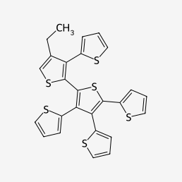 CCc1csc(-c2sc(-c3cccs3)c(-c3cccs3)c2-c2cccs2)c1-c1cccs1